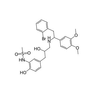 COc1ccc(C(Cc2ccccc2Br)NCC(O)Cc2ccc(O)c(NS(C)(=O)=O)c2)cc1OC